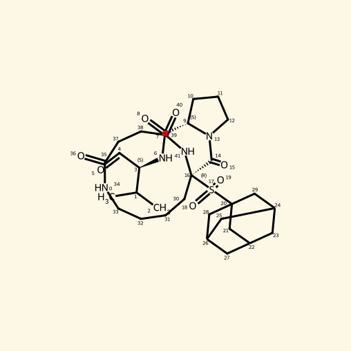 CC(C)[C@@H](C=O)NC(=O)[C@@H]1CCCN1C(=O)[C@]1(S(=O)(=O)C23CC4CC(CC(C4)C2)C3)CCCCNC(=O)CCC(=O)N1